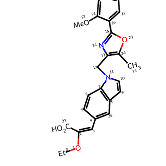 CCO/C(=C/c1ccc2c(ccn2Cc2nc(-c3ccccc3OC)oc2C)c1)C(=O)O